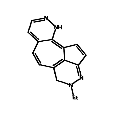 CCN1Cc2ccc3c(c4ccc(c2-4)=N1)NN=CC=3